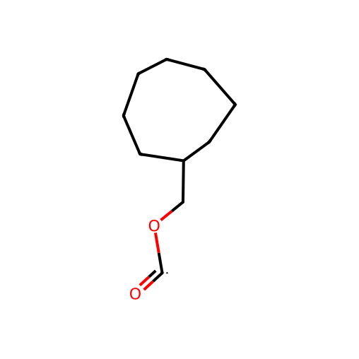 O=[C]OCC1CCCCCCC1